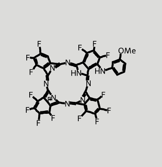 COc1cccc(Nc2c(F)c(F)c(F)c3c4nc5nc(nc6c7c(F)c(F)c(F)c(F)c7c(nc7nc(nc([nH]4)c23)-c2c(F)c(F)c(F)c(F)c2-7)n6F)-c2c-5cc(F)c(F)c2F)c1